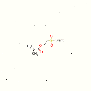 C=C(C)C(=O)OCCS(=O)(=O)CCCCC